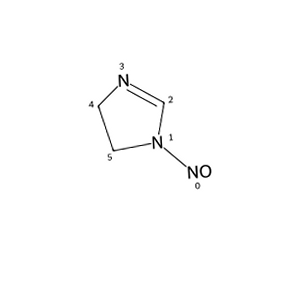 O=NN1C=NCC1